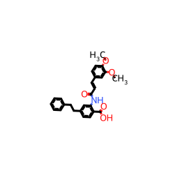 COc1ccc(C=CC(=O)Nc2cc(CCc3ccccc3)ccc2C(=O)O)cc1OC